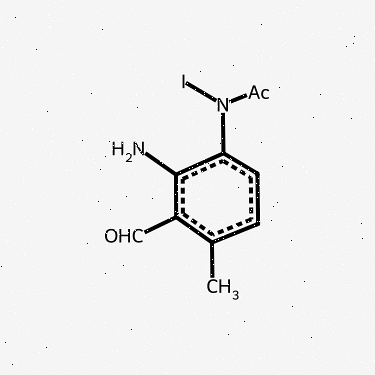 CC(=O)N(I)c1ccc(C)c(C=O)c1N